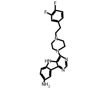 Nc1ccc2[nH]c3c(N4CCN(CCc5ccc(F)c(F)c5)CC4)ncnc3c2c1